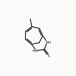 CC1=CC=C2CC(=C1)NC(=S)N2